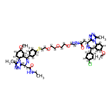 CCNC(=O)C[C@@H]1N=C(c2ccc(SCCOCCOCCOCCNC(=O)C[C@@H]3N=C(c4ccc(Cl)cc4)c4cc(OC)ccc4-n4c(C)nnc43)cc2)c2cc(OC)ccc2-n2c(C)nnc21